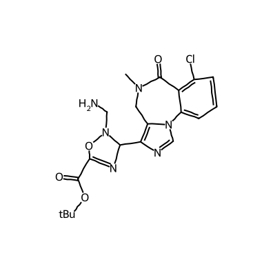 CN1Cc2c(C3N=C(C(=O)OC(C)(C)C)ON3CN)ncn2-c2cccc(Cl)c2C1=O